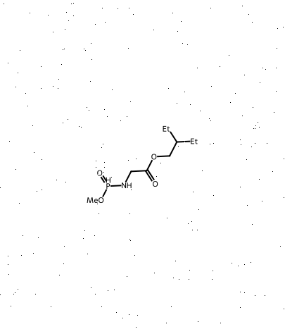 CCC(CC)COC(=O)CN[PH](=O)OC